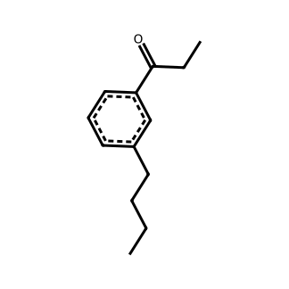 CCCCc1cccc(C(=O)CC)c1